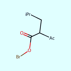 CC(=O)C(CC(C)C)C(=O)OBr